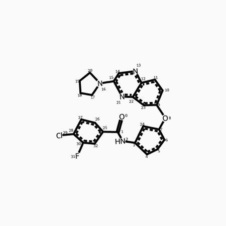 O=C(Nc1cccc(Oc2ccc3ncc(N4CCCC4)nc3c2)c1)c1ccc(Cl)c(F)c1